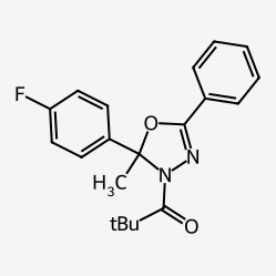 CC(C)(C)C(=O)N1N=C(c2ccccc2)OC1(C)c1ccc(F)cc1